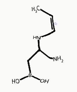 C/C=C\NC(N)CB(O)O